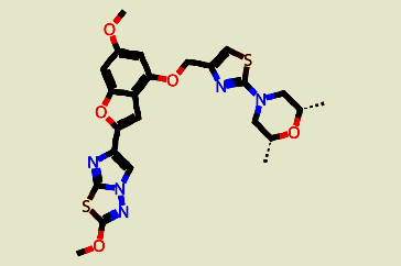 COc1cc(OCc2csc(N3C[C@@H](C)O[C@@H](C)C3)n2)c2cc(-c3cn4nc(OC)sc4n3)oc2c1